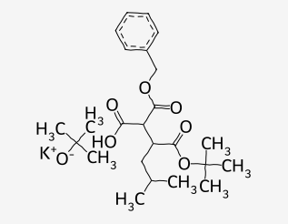 CC(C)(C)[O-].CC(C)CC(C(=O)OC(C)(C)C)C(C(=O)O)C(=O)OCc1ccccc1.[K+]